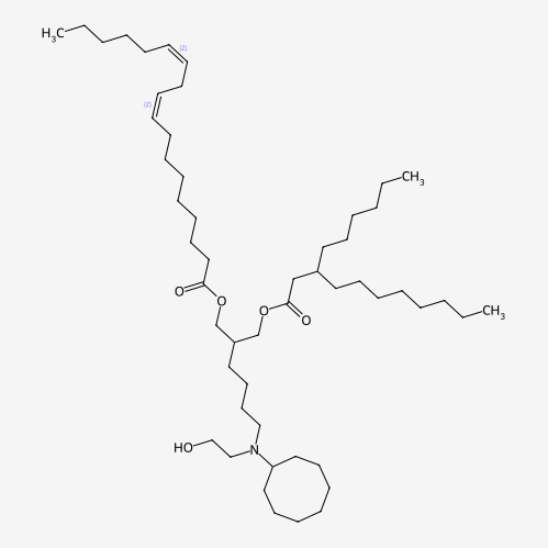 CCCCC/C=C\C/C=C\CCCCCCCC(=O)OCC(CCCCN(CCO)C1CCCCCCC1)COC(=O)CC(CCCCCC)CCCCCCCC